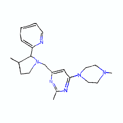 Cc1nc(CN2CCC(C)C2c2ccccn2)cc(N2CCN(C)CC2)n1